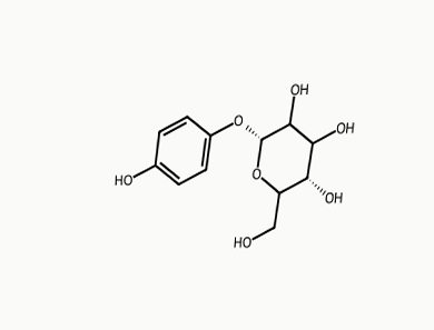 OCC1O[C@H](Oc2ccc(O)cc2)C(O)C(O)[C@@H]1O